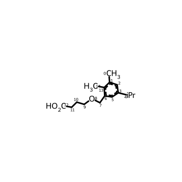 Cc1cc(C(C)C)cc(COCCCC(=O)O)c1C